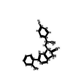 CC(C)c1ccccc1-c1ncc2[nH]c(=O)n(C[C@H](O)c3ccc(F)cc3)c2n1